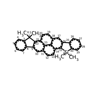 CC1(C)c2ccccc2-c2cc3ccc4c5c(cc6ccc(c21)c3c64)-c1ccccc1[Si]5(C)C